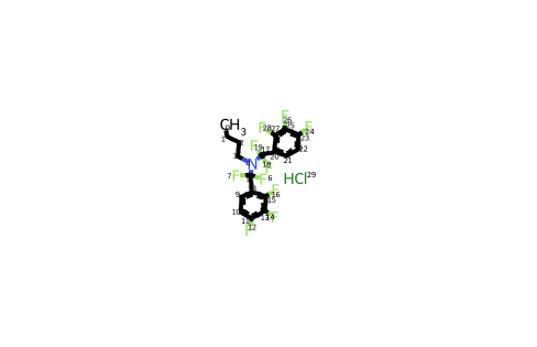 CCCCN(C(F)(F)c1ccc(F)c(F)c1F)C(F)(F)c1ccc(F)c(F)c1F.Cl